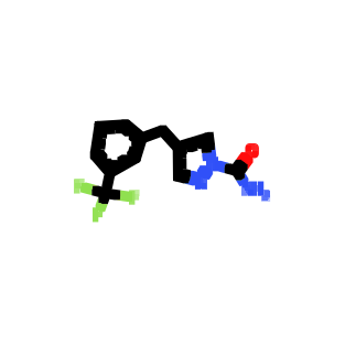 NC(=O)n1cc(Cc2cccc(C(F)(F)F)c2)cn1